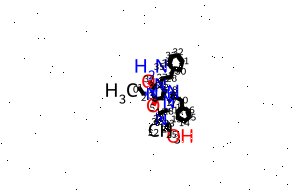 CCCn1c(=O)c2c(nc(Cc3ccccc3)n2CCN(CC)CCO)n(CCc2ccccc2N)c1=O